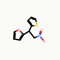 O=[N+]([O-])CC(c1ccco1)c1cccs1